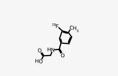 Cc1ccc(C(=O)NCC(=O)O)cc1[19F]